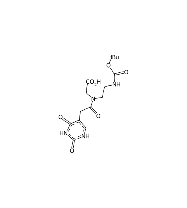 CC(C)(C)OC(=O)NCCN(CC(=O)O)C(=O)Cc1c[nH]c(=O)[nH]c1=O